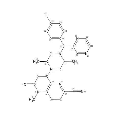 CC1CN(c2cc(=O)n(C)c3ccc(C#N)nc23)[C@@H](C)CN1C(c1ccc(F)cc1)c1cnccn1